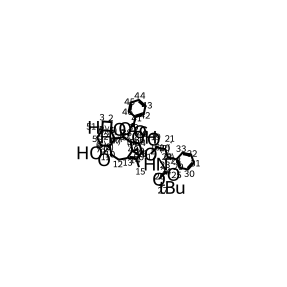 CC(=O)O[C@@]12CC[C@@H]1C[C@H](O)[C@@]1(C)C(=O)CC3=C(C)[C@@H](OC(=O)[C@H](C)[C@@H](NC(=O)OC(C)(C)C)c4ccccc4)C[C@@](O)([C@@H](OC(=O)c4ccccc4)[C@H]21)C3(C)C